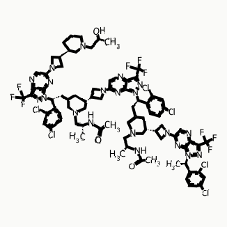 CC(=O)N[C@H](C)CN1CC(C[C@H](c2ccc(Cl)cc2Cl)n2nc(C(F)(F)F)c3ncc(N4CC([C@H]5CCCN(C[C@H](C)O)C5)C4)nc32)C[C@H](C2CN(c3cnc4c(C(F)(F)F)nn([C@H](CC5C[C@H](C6CN(c7cnc8c(C(F)(F)F)nn([C@H](C)c9ccc(Cl)cc9Cl)c8n7)C6)CN(C[C@H](C)NC(C)=O)C5)c5ccc(Cl)cc5Cl)c4n3)C2)C1